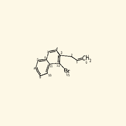 C=CCc1ccc2ccccc2c1Br